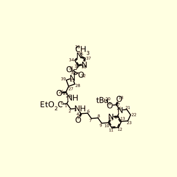 CCOC(=O)C(CNC(=O)CCCCc1ccc2c(n1)N(C(=O)OC(C)(C)C)CCC2)NC(=O)C1CN(S(=O)(=O)c2cn(C)cn2)C1